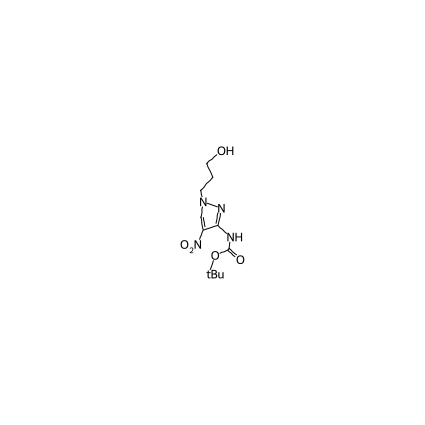 CC(C)(C)OC(=O)Nc1nn(CCCO)cc1[N+](=O)[O-]